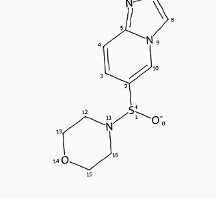 [O-][S+](c1ccc2nccn2c1)N1CCOCC1